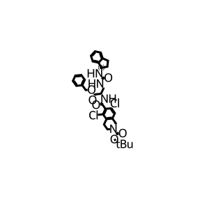 CC(C)(C)OC(=O)N1CCc2c(cc(Cl)c(C(=O)NC(CNC(=O)N[C@@H]3CCc4ccccc43)C(=O)OCc3ccccc3)c2Cl)C1